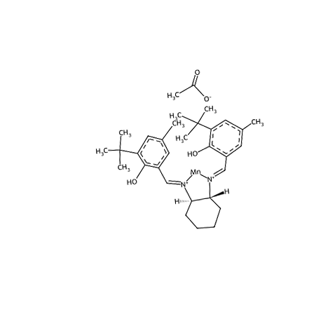 CC(=O)[O-].Cc1cc(C=[N+]2[Mn][N+](=Cc3cc(C)cc(C(C)(C)C)c3O)[C@@H]3CCCC[C@H]32)c(O)c(C(C)(C)C)c1